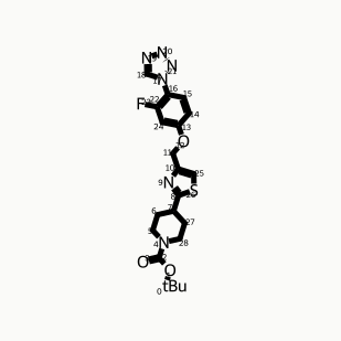 CC(C)(C)OC(=O)N1CCC(c2nc(COc3ccc(-n4cnnn4)c(F)c3)cs2)CC1